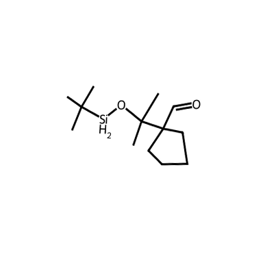 CC(C)(C)[SiH2]OC(C)(C)C1(C=O)CCCC1